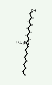 CCCCCCCCCCCCCCCCCCO.Cl.N